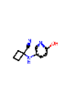 N#CC1(Nc2ccc(O)nc2)CCC1